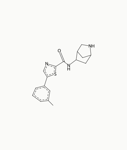 Cc1cccc(-c2cnc(C(=O)NC3CC4CC3CN4)s2)c1